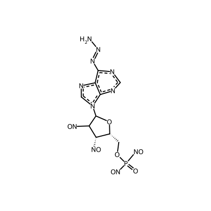 NN=Nc1ncnc2c1ncn2C1O[C@H](COP(=O)(N=O)N=O)[C@H](N=O)C1N=O